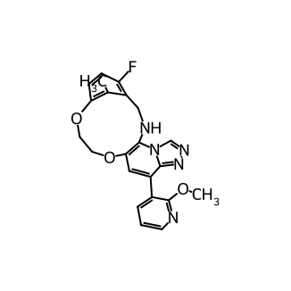 COc1ncccc1-c1cc2c(n3cnnc13)NCc1c(F)ccc(c1C)OCCO2